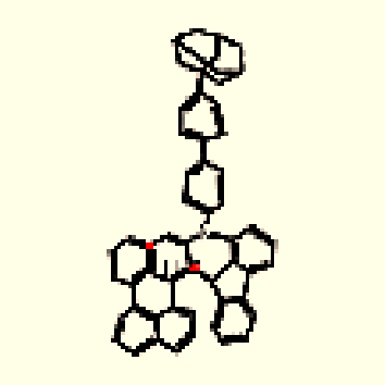 CC12c3ccccc3-c3cccc(c31)N(c1ccc(-c3ccc(C45CC6CC(CC(C6)C4)C5)cc3)cc1)c1cccc(-c3cccc4cccc(-c5ccccc5)c34)c12